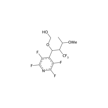 COC(C)C(C(OCO)c1c(F)c(F)nc(F)c1F)C(F)(F)F